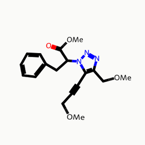 COCC#Cc1c(COC)nnn1C(Cc1ccccc1)C(=O)OC